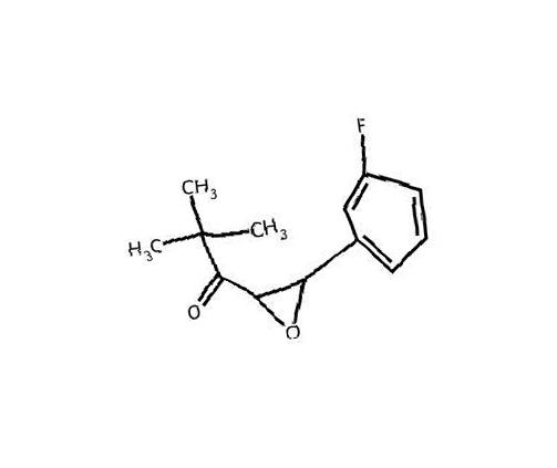 CC(C)(C)C(=O)C1OC1c1cccc(F)c1